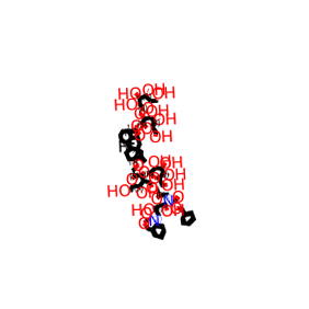 C=C1CC23CCC4[C@](C)(C(=O)O[C@@H]5OC(CO)[C@@H](O)C(O)C5O[C@@H]5OC(CO)[C@@H](O)C(O)C5O)CCC[C@@]4(C)[C@@H]2CC[C@]1(OC[C@@H]1OC(CO)[C@@H](O)C(COC[C@@H](/C=N/C(=O)OCc2ccccc2)OC(CO)[C@@H](O)/C=N\C(=O)OCc2ccccc2)C1O[C@@H]1OC(CO)[C@@H](O)C(O)C1O)C3